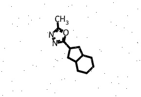 Cc1nnc(C2CC3CCCCC3C2)o1